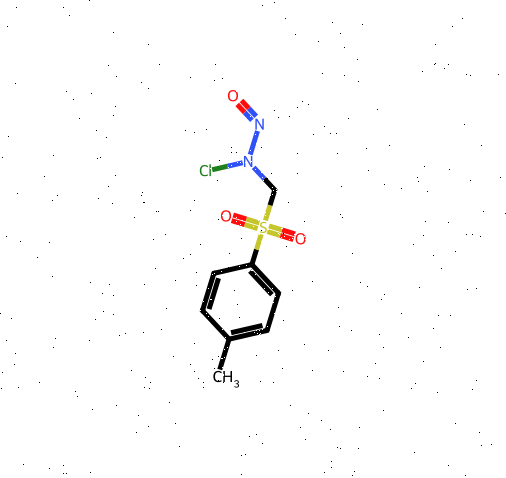 Cc1ccc(S(=O)(=O)CN(Cl)N=O)cc1